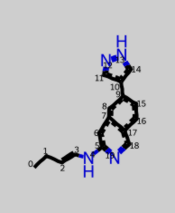 CC/C=C/Nc1cc2cc(-c3cn[nH]c3)ccc2cn1